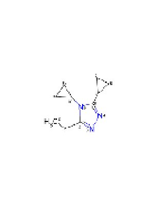 CCc1nnc(C2CC2)n1C1CC1